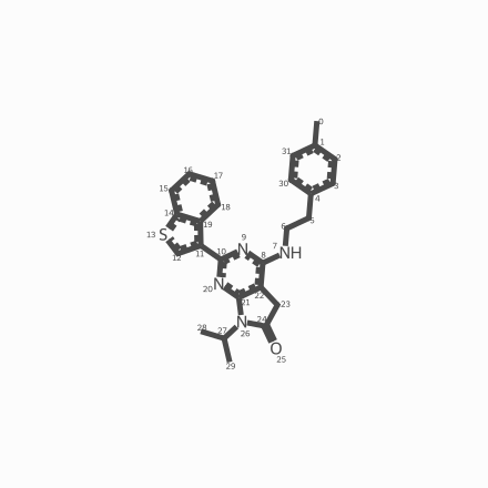 Cc1ccc(CCNc2nc(-c3csc4ccccc34)nc3c2CC(=O)N3C(C)C)cc1